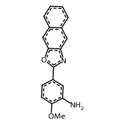 COc1ccc(-c2nc3cc4ccccc4cc3o2)cc1N